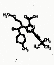 COCCN(C(=O)C1CCC(C)CC1)c1cc(C#CC(C)(C)C)sc1C(=O)O